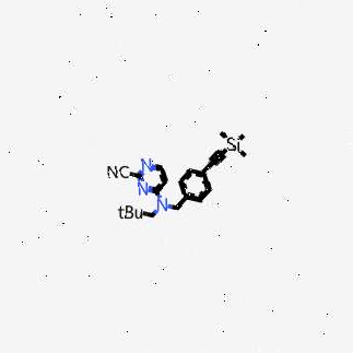 CC(C)(C)CN(Cc1ccc(C#C[Si](C)(C)C)cc1)c1ccnc(C#N)n1